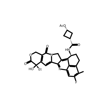 CC[C@@]1(O)C(=O)OCc2c1cc1n(c2=O)Cc2c-1nc1cc(F)c(C)c3c1c2[C@@H](NC(=O)[C@H]1C[C@@H](OC(C)=O)C1)CC3